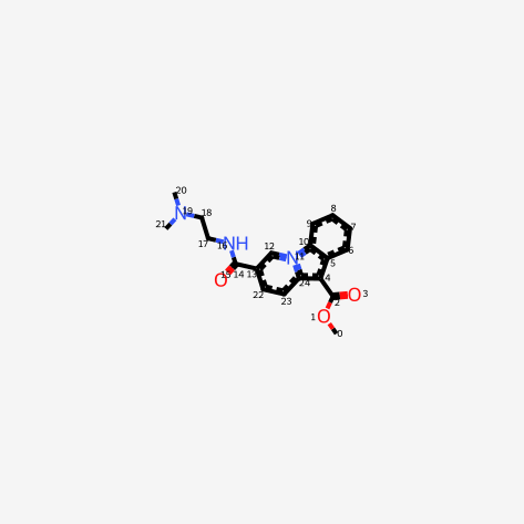 COC(=O)c1c2ccccc2n2cc(C(=O)NCCN(C)C)ccc12